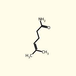 CC(C)=CCCC(N)=O